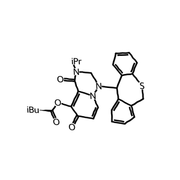 CC[C@H](C)C(=O)Oc1c2n(ccc1=O)N(C1c3ccccc3CSc3ccccc31)CN(C(C)C)C2=O